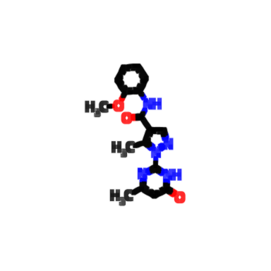 COc1ccccc1NC(=O)c1cnn(-c2nc(C)cc(=O)[nH]2)c1C